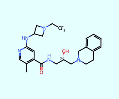 Cc1cnc(NC2CN(CC(F)(F)F)C2)cc1C(=O)NC[C@H](O)CN1CCc2ccccc2C1